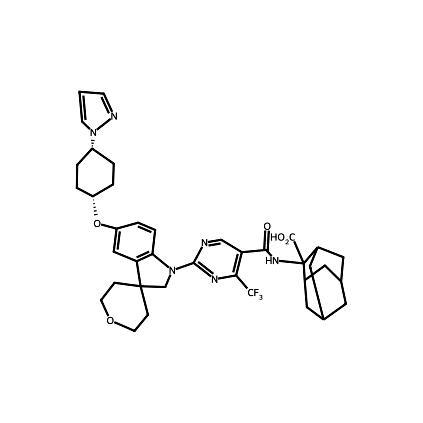 O=C(NC1(C(=O)O)C2CC3CC(C2)CC1C3)c1cnc(N2CC3(CCOCC3)c3cc(O[C@H]4CC[C@@H](n5cccn5)CC4)ccc32)nc1C(F)(F)F